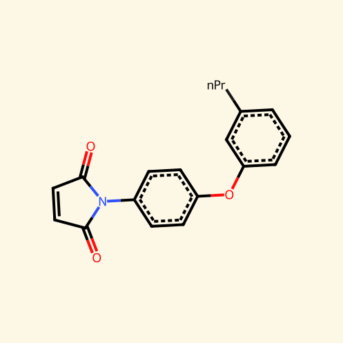 CCCc1cccc(Oc2ccc(N3C(=O)C=CC3=O)cc2)c1